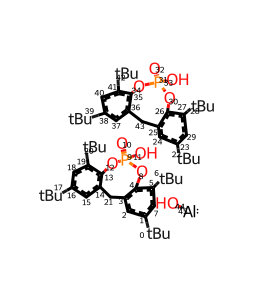 CC(C)(C)c1cc2c(c(C(C)(C)C)c1)OP(=O)(O)Oc1c(cc(C(C)(C)C)cc1C(C)(C)C)C2.CC(C)(C)c1cc2c(c(C(C)(C)C)c1)OP(=O)(O)Oc1c(cc(C(C)(C)C)cc1C(C)(C)C)C2.[OH][Al]